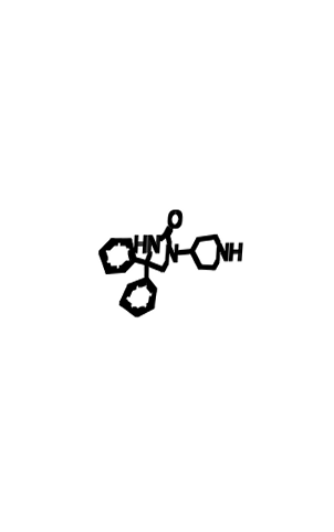 O=C1NC(c2ccccc2)(c2ccccc2)CN1C1CCNCC1